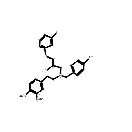 COc1ccc(CCN(Cc2ccc(F)cc2)CC(O)COc2cccc(C)c2)cc1OC